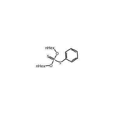 CCCCCCOP(=S)(OCCCCCC)Sc1ccccc1